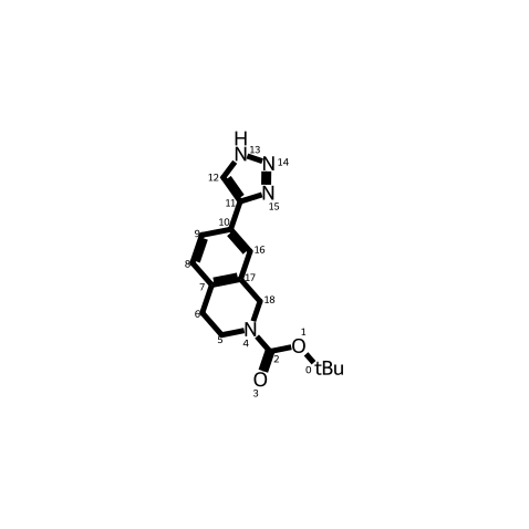 CC(C)(C)OC(=O)N1CCc2ccc(-c3c[nH]nn3)cc2C1